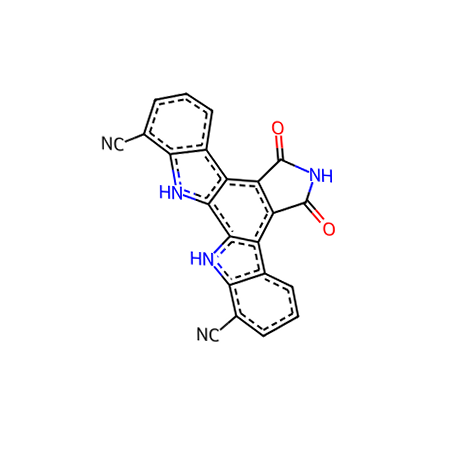 N#Cc1cccc2c1[nH]c1c3[nH]c4c(C#N)cccc4c3c3c(c21)C(=O)NC3=O